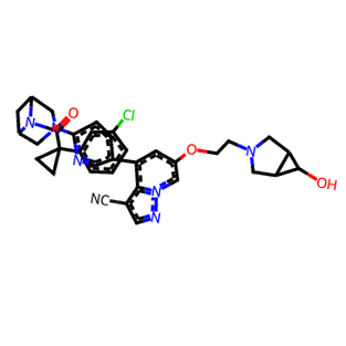 N#Cc1cnn2cc(OCCN3CC4C(O)C4C3)cc(-c3ccc(N4CC5CC(C4)N5C(=O)C4(c5cccc(Cl)c5)CC4)nc3)c12